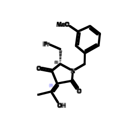 COc1cccc(CN2C(=O)/C(=C(/C)O)C(=O)[C@@H]2CC(C)C)c1